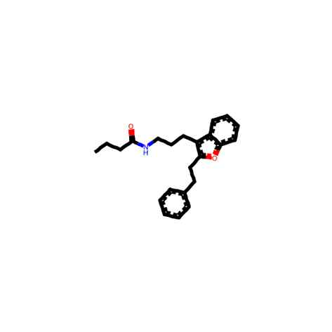 CCCC(=O)NCCCc1c(CCc2ccccc2)oc2ccccc12